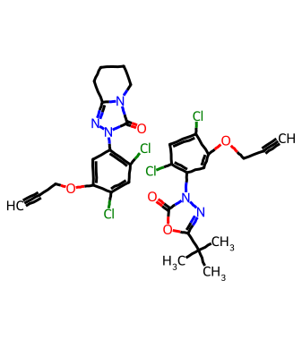 C#CCOc1cc(-n2nc(C(C)(C)C)oc2=O)c(Cl)cc1Cl.C#CCOc1cc(-n2nc3n(c2=O)CCCC3)c(Cl)cc1Cl